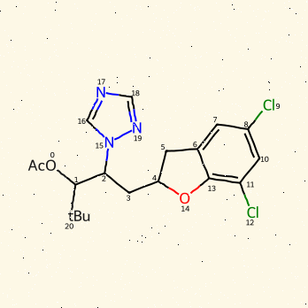 CC(=O)OC(C(CC1Cc2cc(Cl)cc(Cl)c2O1)n1cncn1)C(C)(C)C